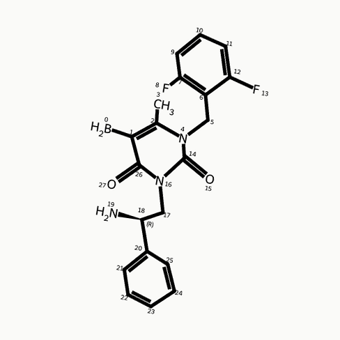 Bc1c(C)n(Cc2c(F)cccc2F)c(=O)n(C[C@H](N)c2ccccc2)c1=O